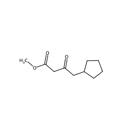 COC(=O)CC(=O)CC1CCCC1